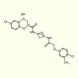 Cc1cc(OCC(=O)NC23CC(NC(=O)[C@@H]4C[C@@H](O)c5cc(Cl)ccc5O4)(C2)C3)ccc1Cl